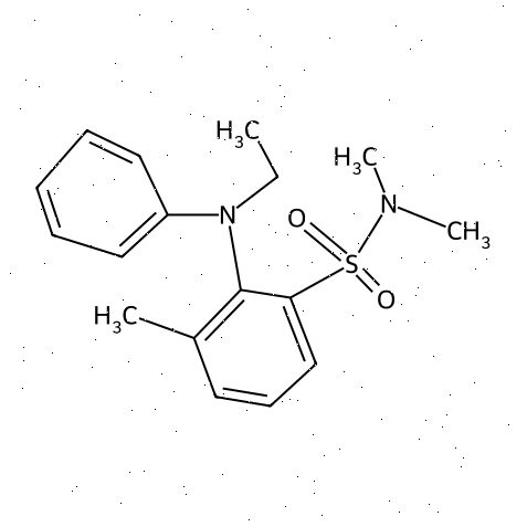 CCN(c1ccccc1)c1c(C)cccc1S(=O)(=O)N(C)C